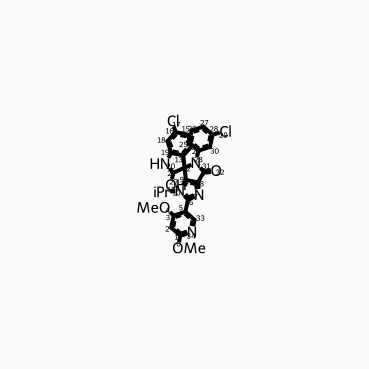 COc1cc(OC)c(-c2nc3c(n2C(C)C)C2(c4ccc(Cl)cc4NC2O)N(c2cccc(Cl)c2)C3=O)cn1